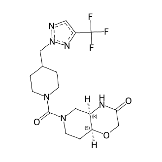 O=C1CO[C@H]2CCN(C(=O)N3CCC(Cn4ncc(C(F)(F)F)n4)CC3)C[C@H]2N1